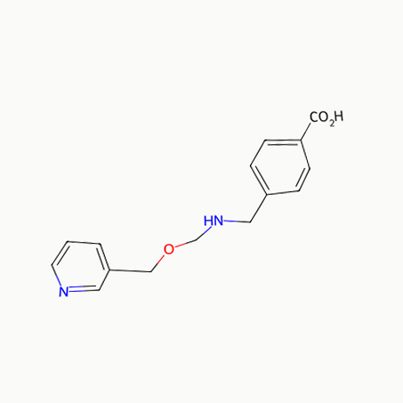 O=C(O)c1ccc(CNCOCc2cccnc2)cc1